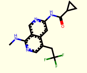 CNc1ncc(CC(F)(F)F)c2cc(NC(=O)C3CC3)ncc12